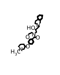 CN1CCC[C@@H](Oc2ccc3c(c2)OCCN(CC(O)CN2CCc4ccccc4C2)C3=O)C1